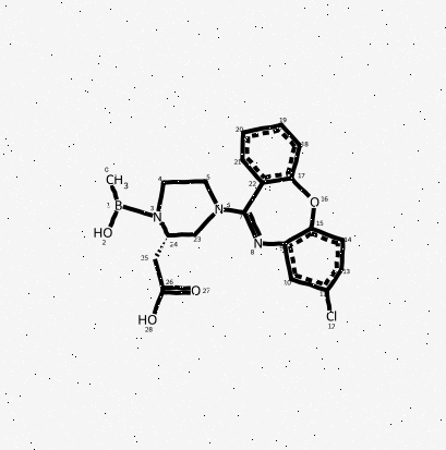 CB(O)N1CCN(C2=Nc3cc(Cl)ccc3Oc3ccccc32)C[C@@H]1CC(=O)O